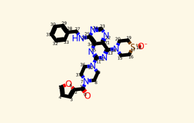 O=C(c1ccco1)N1CCN(c2nc(N3CC[S+]([O-])CC3)c3ncnc(NCc4ccccc4)c3n2)CC1